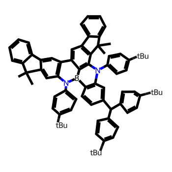 CC(C)(C)c1ccc(C(c2ccc(C(C)(C)C)cc2)c2ccc3c(c2)N(c2ccc(C(C)(C)C)cc2)c2c4c(cc5c2C(C)(C)c2ccccc2-5)-c2cc5c(cc2N(c2ccc(C(C)(C)C)cc2)B34)C(C)(C)c2ccccc2-5)cc1